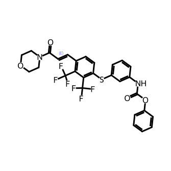 O=C(Nc1cccc(Sc2ccc(/C=C/C(=O)N3CCOCC3)c(C(F)(F)F)c2C(F)(F)F)c1)Oc1ccccc1